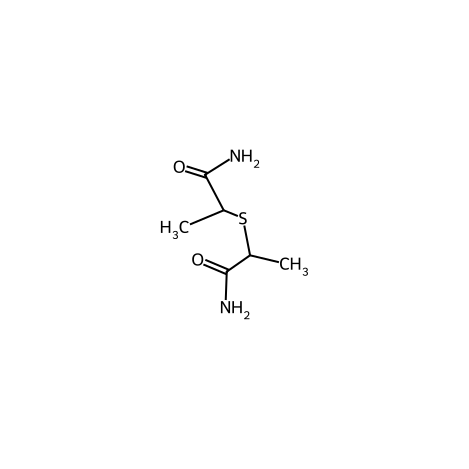 CC(SC(C)C(N)=O)C(N)=O